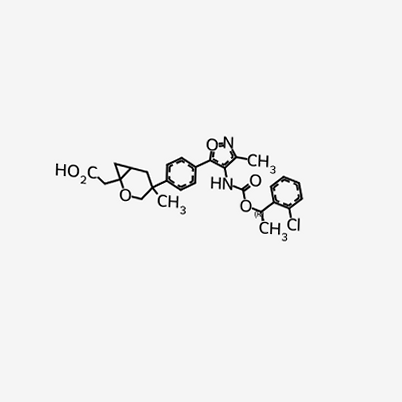 Cc1noc(-c2ccc(C3(C)COC4(CC(=O)O)CC4C3)cc2)c1NC(=O)O[C@H](C)c1ccccc1Cl